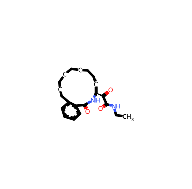 CCNC(=O)C(=O)[C@@H]1CCCCCCCCCc2ccccc2C(=O)N1